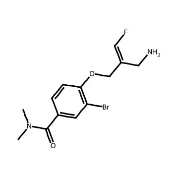 CN(C)C(=O)c1ccc(OCC(=CF)CN)c(Br)c1